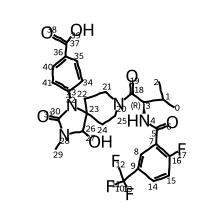 CC(C)[C@@H](NC(=O)c1cc(C(F)(F)F)ccc1F)C(=O)N1CCC2(CC1)C(O)N(C)C(=O)N2c1ccc(C(=O)O)cc1